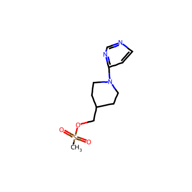 CS(=O)(=O)OCC1CCN(c2ccncn2)CC1